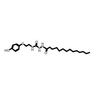 CCCCCCCCCCCCCC(=O)NNC(=O)NCCSc1ccc(O)cc1